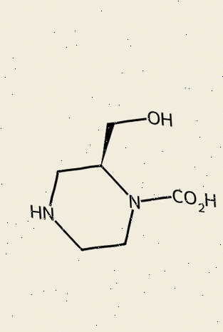 O=C(O)N1CCNC[C@H]1CO